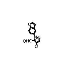 O=Cc1c(Cl)cnn1-c1ccc2occc2c1